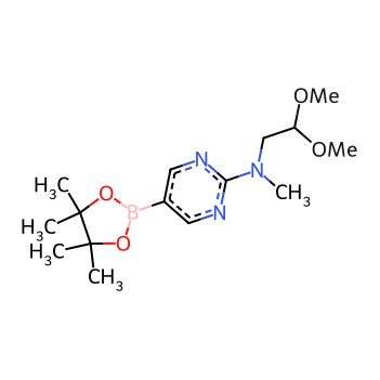 COC(CN(C)c1ncc(B2OC(C)(C)C(C)(C)O2)cn1)OC